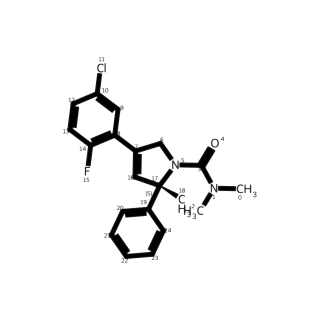 CN(C)C(=O)N1CC(c2cc(Cl)ccc2F)=C[C@@]1(C)c1ccccc1